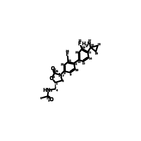 CC(=O)NC[C@H]1CN(c2ccc(-c3ccc(C4(N)CC4)c(F)c3)c(F)c2)C(=O)O1